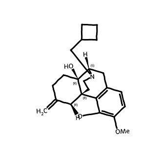 C=C1CC[C@]2(O)[C@@H]3Cc4ccc(OC)c5c4[C@]2(CCN3CC2CCC2)[C@@H]1O5